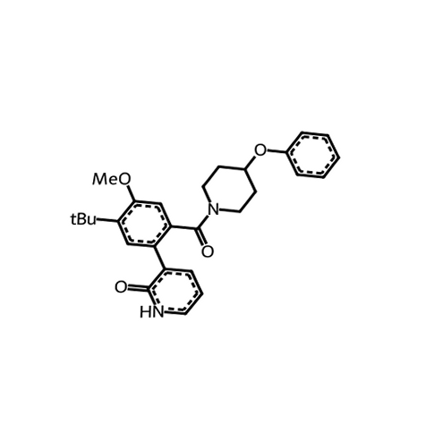 COc1cc(C(=O)N2CCC(Oc3ccccc3)CC2)c(-c2ccc[nH]c2=O)cc1C(C)(C)C